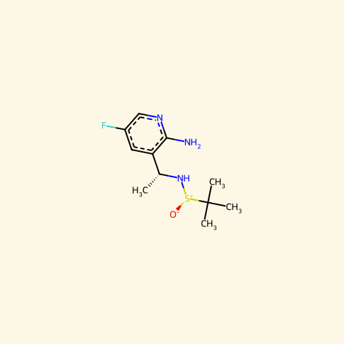 C[C@@H](N[S@+]([O-])C(C)(C)C)c1cc(F)cnc1N